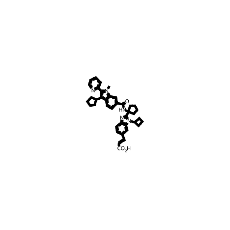 Cn1c(-c2ccccn2)c(C2CCCC2)c2ccc(C(=O)NC3(c4nc5ccc(/C=C/C(=O)O)cc5n4C4CCC4)CCCC3)cc21